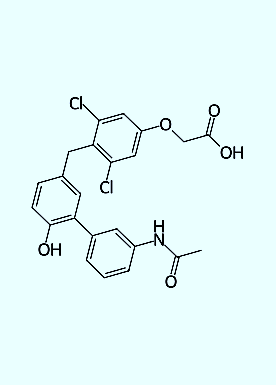 CC(=O)Nc1cccc(-c2cc(Cc3c(Cl)cc(OCC(=O)O)cc3Cl)ccc2O)c1